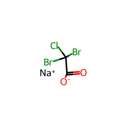 O=C([O-])C(Cl)(Br)Br.[Na+]